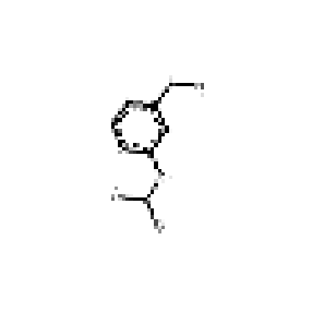 CCC(Cl)Oc1cccc(CBr)c1